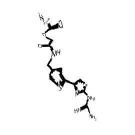 CC(=O)OCC(=O)NCc1csc(-c2csc(NC(=N)N)n2)c1